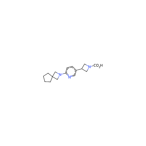 O=C(O)N1CC(c2ccc(N3CC4(CCCC4)C3)nc2)C1